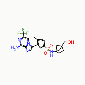 Cc1ccc(S(=O)(=O)NC23CCC(CO)(C2)C3)cc1-c1cnc2c(N)nc(C(F)(F)F)cn12